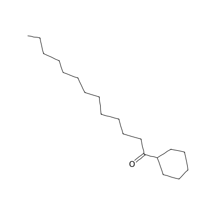 CCCCCCCCCCCCC(=O)C1CCCCC1